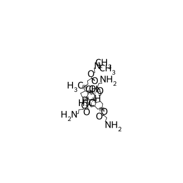 C[C@H](CCC(=O)OCCN(C)C)C1CC[C@H]2C3[C@H](OC(=O)CCN)CC4C[C@H](OC(=O)CCN)CCC4(C)[C@H]3C[C@H](OC(=O)CCN)[C@]12C